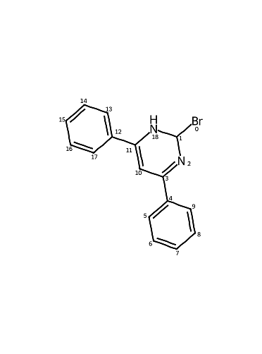 BrC1N=C(c2ccccc2)C=C(c2ccccc2)N1